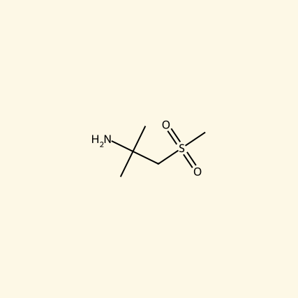 CC(C)(N)CS(C)(=O)=O